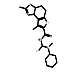 CCC(NC(=O)c1oc2c(c1C)C1N=C(C)SC1CC2)N(C)C1CCCCC1